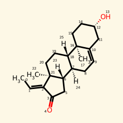 C/C=C1/C(=O)C[C@H]2[C@@H]3CC=C4C[C@@H](O)CC[C@]4(C)[C@H]3CC[C@]12C